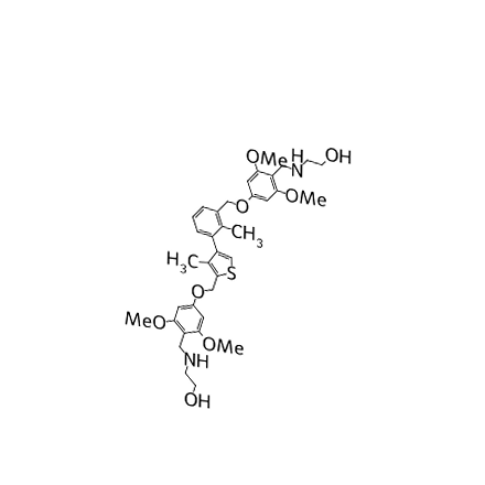 COc1cc(OCc2cccc(-c3csc(COc4cc(OC)c(CNCCO)c(OC)c4)c3C)c2C)cc(OC)c1CNCCO